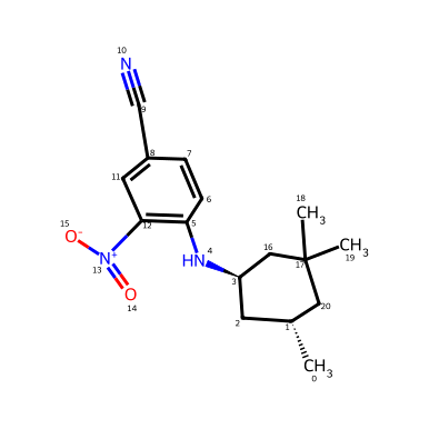 C[C@@H]1C[C@@H](Nc2ccc(C#N)cc2[N+](=O)[O-])CC(C)(C)C1